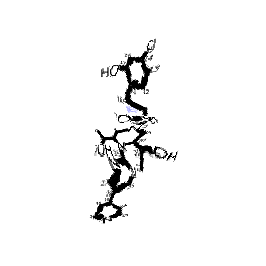 CC(O)C1CN(S(=O)(=O)/C=C/c2ccc(Cl)cc2O)CC(C(C)O)N1c1ncc(-c2ccncc2)cn1